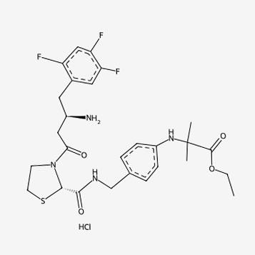 CCOC(=O)C(C)(C)Nc1ccc(CNC(=O)[C@@H]2SCCN2C(=O)C[C@H](N)Cc2cc(F)c(F)cc2F)cc1.Cl